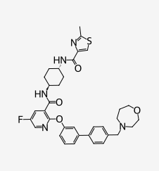 Cc1nc(C(=O)N[C@H]2CC[C@H](NC(=O)c3cc(F)cnc3Oc3cccc(-c4ccc(CN5CCCOCC5)cc4)c3)CC2)cs1